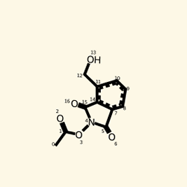 CC(=O)ON1C(=O)c2cccc(CO)c2C1=O